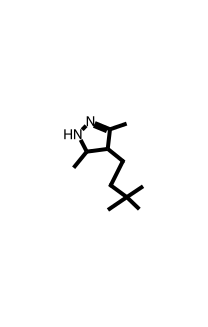 CC1=NNC(C)C1CCC(C)(C)C